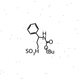 CC(C)(C)OC(=O)NC(CCS(=O)(=O)O)c1ccccc1